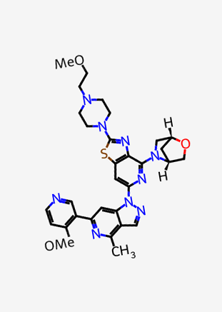 COCCN1CCN(c2nc3c(N4C[C@H]5C[C@@H]4CO5)nc(-n4ncc5c(C)nc(-c6cnccc6OC)cc54)cc3s2)CC1